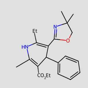 CCOC(=O)C1=C(C)NC(CC)=C(C2=NC(C)(C)CO2)C1c1ccccc1